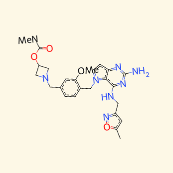 CNC(=O)OC1CN(Cc2ccc(Cn3ccc4nc(N)nc(NCc5cc(C)on5)c43)c(OC)c2)C1